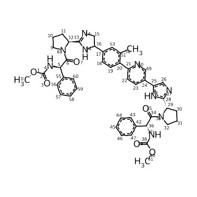 COC(=O)N[C@@H](C(=O)N1CCC[C@H]1C1=NCC(c2ccc(-c3ccc(-c4cnc([C@@H]5CCCN5C(=O)[C@H](NC(=O)OC)c5ccccc5)[nH]4)cn3)c(C)c2)N1)c1ccccc1